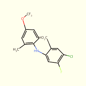 Cc1cc(OC(F)(F)F)ccc1Nc1cc(F)c(Cl)cc1C(=O)O